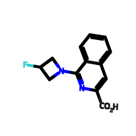 O=C(O)c1cc2ccccc2c(N2CC(F)C2)n1